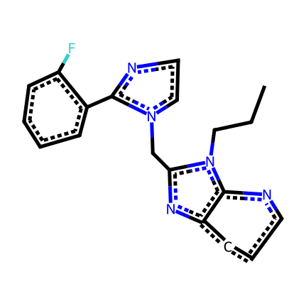 CCCn1c(Cn2ccnc2-c2ccccc2F)nc2cccnc21